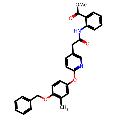 COC(=O)c1ccccc1NC(=O)Cc1ccc(Oc2ccc(OCc3ccccc3)c(C)c2)nc1